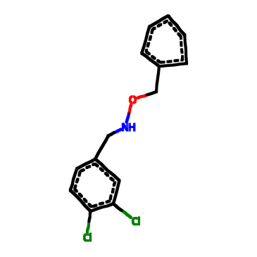 Clc1ccc(CNOCc2ccccc2)cc1Cl